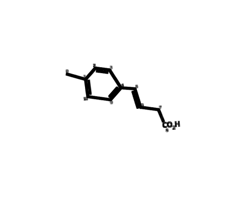 Cc1ccc(C=CCC(=O)O)cc1